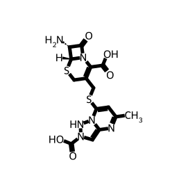 CC1=NC2=CN(C(=O)O)NN2C(SCC2=C(C(=O)O)N3C(=O)[C@@H](N)[C@H]3SC2)=C1